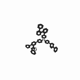 c1ccc(-c2ccc(-c3ccc(N(c4ccc(-c5ccc(-c6ccccc6)c(-c6cc7ccccc7o6)c5)cc4)c4ccc(-c5ccccc5-c5ccccc5-c5ccccc5)cc4)cc3)cc2)cc1